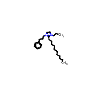 CCCCCCCCCCCc1n(CCC)cc[n+]1CCCc1ccccc1